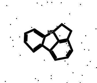 [CH]1Cc2cccc3c2[SiH]1c1ccccc1-3